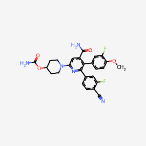 COc1ccc(-c2c(C(N)=O)cc(N3CCC(OC(N)=O)CC3)nc2-c2ccc(C#N)c(F)c2)cc1F